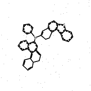 C1=CC2=c3c(cc(N(C4=Cc5ccc6sc7ccccc7c6c5CC4)c4ccccc4)c4ccccc34)=CCC2C=C1